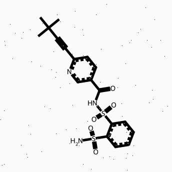 CC(C)(C)C#Cc1ccc(C(=O)NS(=O)(=O)c2ccccc2S(N)(=O)=O)cn1